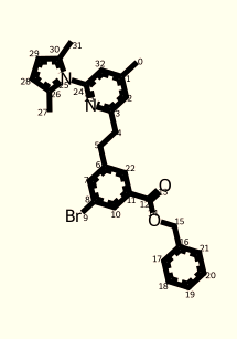 Cc1cc(CCc2cc(Br)cc(C(=O)OCc3ccccc3)c2)nc(-n2c(C)ccc2C)c1